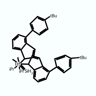 C[CH](C)[Hf]([CH3])([CH3])(=[SiH2])([CH](C)C)([CH]1C=Cc2c(-c3ccc(C(C)(C)C)cc3)cccc21)[CH]1C=Cc2c(-c3ccc(C(C)(C)C)cc3)cccc21